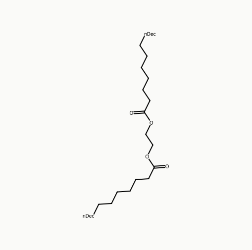 CCCCCCCCCCCCCCCCC(=O)OCCOC(=O)CCCCCCCCCCCCCCCC